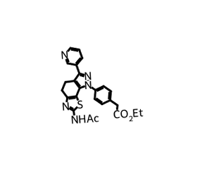 CCOC(=O)Cc1ccc(-n2nc(-c3cccnc3)c3c2-c2sc(NC(C)=O)nc2CC3)cc1